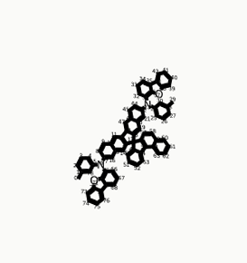 Cc1cccc(N(c2ccc3cc4c(cc3c2)C2(c3cc5cc(N(c6cccc(C)c6)c6cccc7c6oc6ccccc67)ccc5cc3-4)c3ccccc3-c3c2ccc2ccccc32)c2cccc3c2oc2ccccc23)c1